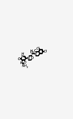 C[C@H]1c2c(Cl)cc(Cl)cc2CCN1C(=O)[C@H]1CN(c2c[nH]c(=O)c3nc(N)oc23)CCO1